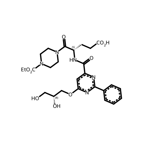 CCOC(=O)N1CCN(C(=O)[C@H](CCC(=O)O)NC(=O)c2cc(OC[C@H](O)CO)nc(-c3ccccc3)n2)CC1